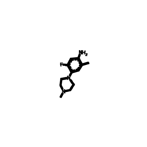 Cc1cc(N2CCN(C)CC2)c(F)cc1N